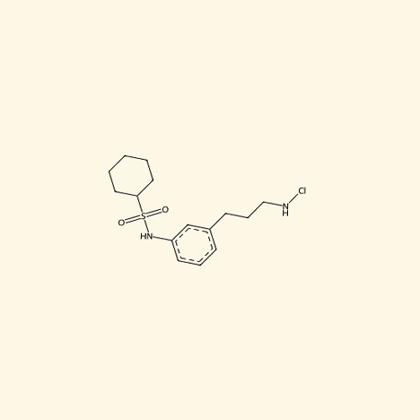 O=S(=O)(Nc1cccc(CCCNCl)c1)C1CCCCC1